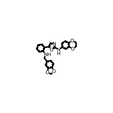 c1ccc(-c2cnc(Nc3ccc4c(c3)OCCO4)o2)c(NCc2ccc3c(c2)OCO3)c1